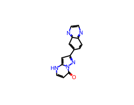 O=c1cc[nH]c2cc(-c3ccc4nccnc4c3)nn12